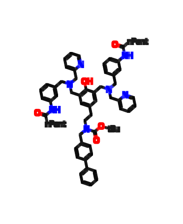 CCCCCC(=O)Nc1cccc(CN(Cc2ccccn2)Cc2cc(CCN(Cc3ccc(-c4ccccc4)cc3)C(=O)OC(C)(C)C)cc(CN(Cc3cccc(NC(=O)CCCCC)c3)Cc3ccccn3)c2O)c1